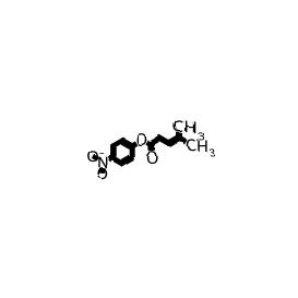 CC(C)CCC(=O)Oc1ccc([N+](=O)[O-])cc1